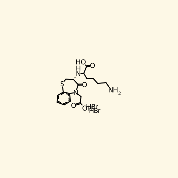 Br.Br.NCCCCC(N[C@H]1CSc2ccccc2N(CC(=O)O)C1=O)C(=O)O